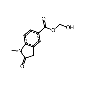 CN1C(=O)Cc2cc(C(=O)OCO)ccc21